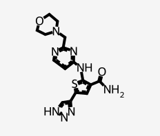 NC(=O)c1cc(-c2c[nH]nn2)sc1Nc1ccnc(CN2CCOCC2)n1